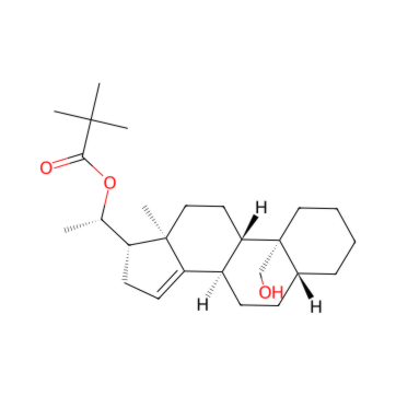 C[C@H](OC(=O)C(C)(C)C)[C@H]1CC=C2[C@@H]3CC[C@H]4CCCC[C@]4(CO)[C@H]3CC[C@@]21C